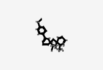 COc1ccc(C2=CC=CC(CC3(N)C=CC=NC3N)(OC)C2)cc1